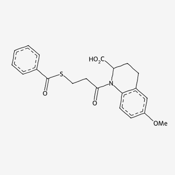 COc1ccc2c(c1)CCC(C(=O)O)N2C(=O)CCSC(=O)c1ccccc1